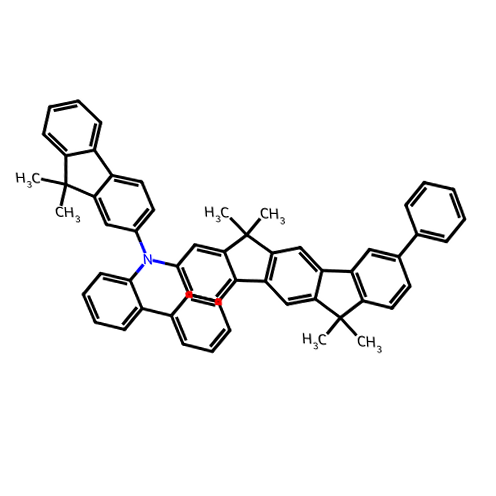 CC1(C)c2ccccc2-c2ccc(N(c3ccc4c(c3)C(C)(C)c3cc5c(cc3-4)C(C)(C)c3ccc(-c4ccccc4)cc3-5)c3ccccc3-c3ccccc3)cc21